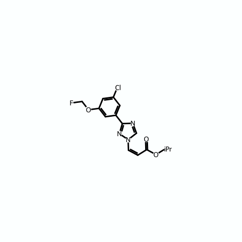 CC(C)OC(=O)/C=C\n1cnc(-c2cc(Cl)cc(OCF)c2)n1